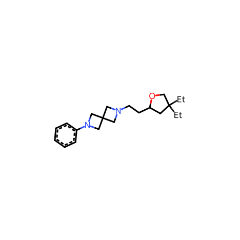 CCC1(CC)COC(CCN2CC3(C2)CN(c2ccccc2)C3)C1